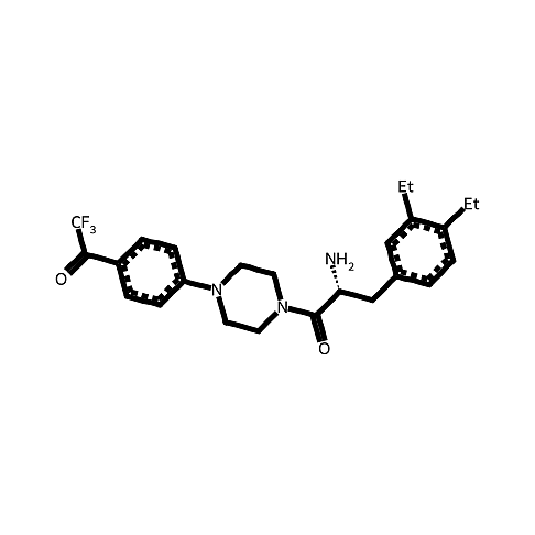 CCc1ccc(C[C@@H](N)C(=O)N2CCN(c3ccc(C(=O)C(F)(F)F)cc3)CC2)cc1CC